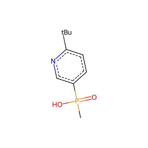 CC(C)(C)c1ccc(P(C)(=O)O)cn1